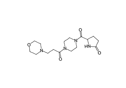 O=C1CCC(C(=O)N2CCN(C(=O)CCN3CCOCC3)CC2)N1